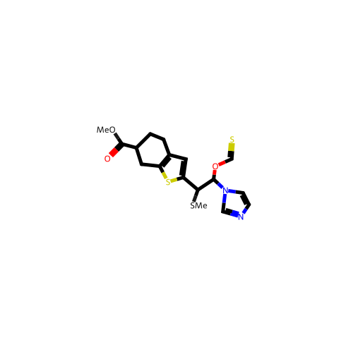 COC(=O)C1CCc2cc(C(SC)C(OC=S)n3ccnc3)sc2C1